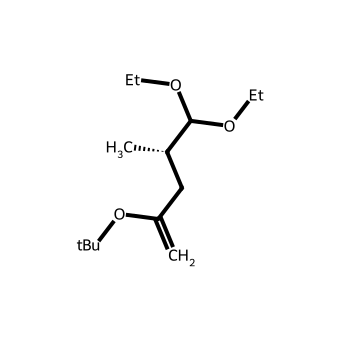 C=C(C[C@H](C)C(OCC)OCC)OC(C)(C)C